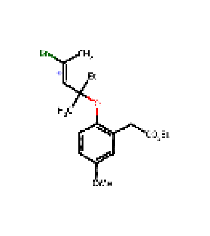 CCOC(=O)Cc1cc(OC)ccc1OC(C)(/C=C(\C)Br)CC